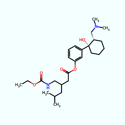 CCOC(=O)NCC(CC(=O)Oc1cccc([C@]2(O)CCCC[C@H]2CN(C)C)c1)CC(C)C